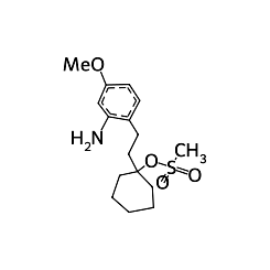 COc1ccc(CCC2(OS(C)(=O)=O)CCCCC2)c(N)c1